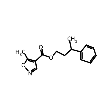 Cc1oncc1C(=O)OCCC(C)c1ccccc1